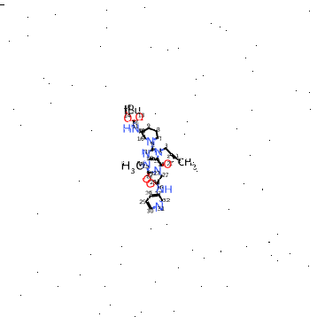 CC#CCn1c(N2CCC[C@@H](NC(=O)OC(C)(C)C)C2)nc2c1c(=O)n(CC(=O)Nc1cccnc1)c(=O)n2C